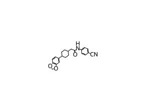 N#Cc1ccc(NC(=O)CC2CCC(c3ccc4c(c3)OCO4)CC2)cc1